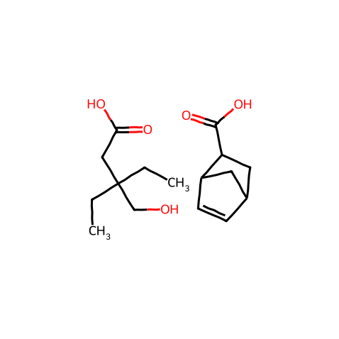 CCC(CC)(CO)CC(=O)O.O=C(O)C1CC2C=CC1C2